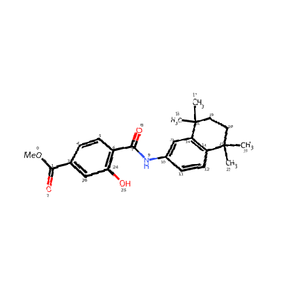 COC(=O)c1ccc(C(=O)Nc2ccc3c(c2)C(C)(C)CCC3(C)C)c(O)c1